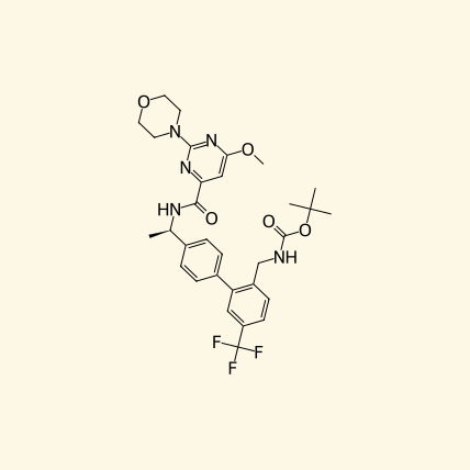 COc1cc(C(=O)N[C@H](C)c2ccc(-c3cc(C(F)(F)F)ccc3CNC(=O)OC(C)(C)C)cc2)nc(N2CCOCC2)n1